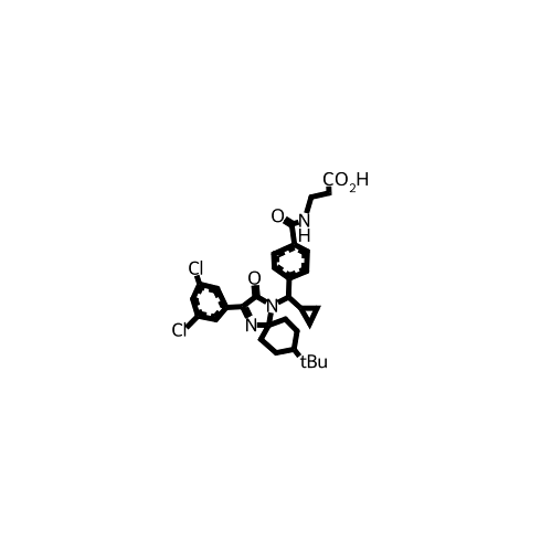 CC(C)(C)C1CCC2(CC1)N=C(c1cc(Cl)cc(Cl)c1)C(=O)N2C(c1ccc(C(=O)NCCC(=O)O)cc1)C1CC1